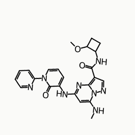 CNc1cc(Nc2cccn(-c3ccccn3)c2=O)nc2c(C(=O)NC3CCC3OC)cnn12